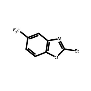 CCc1nc2cc(C(F)(F)F)ccc2o1